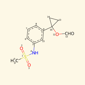 CS(=O)(=O)Nc1cccc(C2(OC=O)CC2)c1